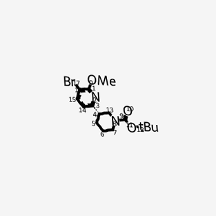 COc1nc([C@H]2CCCN(C(=O)OC(C)(C)C)C2)ccc1Br